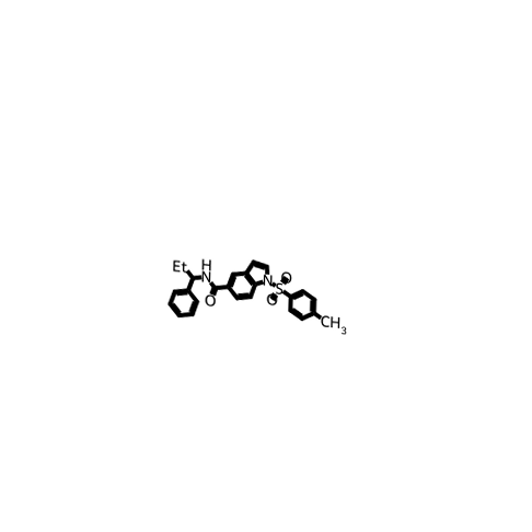 CCC(NC(=O)c1ccc2c(ccn2S(=O)(=O)c2ccc(C)cc2)c1)c1ccccc1